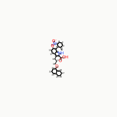 Cc1cccc([N+](=O)[O-])c1-c1cccc2c(CCCOc3cccc4ccccc34)c(C(=O)O)[nH]c12